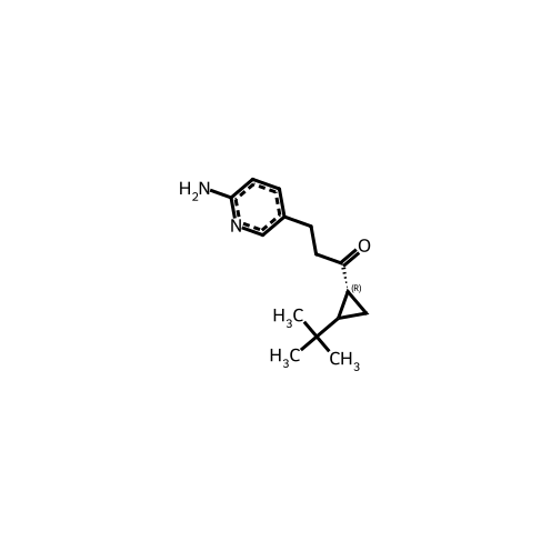 CC(C)(C)C1C[C@H]1C(=O)CCc1ccc(N)nc1